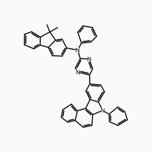 CC1(C)c2ccccc2-c2ccc(N(c3ccccc3)c3cnc(-c4ccc5c(c4)c4c6ccccc6ccc4n5-c4ccccc4)cn3)cc21